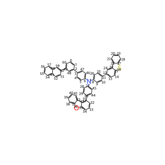 c1cc(-c2ccc(N(c3ccc(-c4ccc5sc6ccccc6c5c4)cc3)c3ccc(-c4cccc5oc6ccccc6c45)cc3)cc2)cc(-c2ccc3ccccc3c2)c1